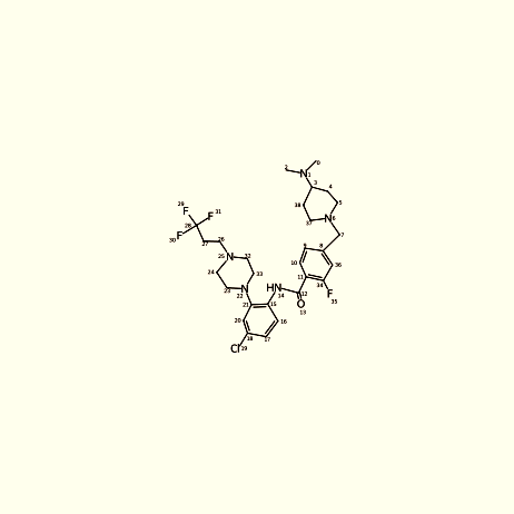 CN(C)C1CCN(Cc2ccc(C(=O)Nc3ccc(Cl)cc3N3CCN(CCC(F)(F)F)CC3)c(F)c2)CC1